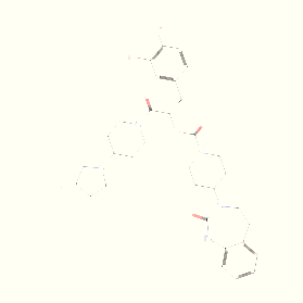 O=C(O[C@H](Cc1ccc(O)c(Br)c1)C(=O)N1CCC(N2CC[C@H](O)C2)CC1)N1CCC(N2CCc3ccccc3NC2=O)CC1